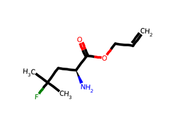 C=CCOC(=O)[C@@H](N)CC(C)(C)F